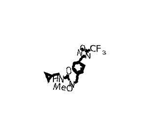 CON(Cc1ccc(-c2noc(C(F)(F)F)n2)cc1)C(=O)NCC1CC1